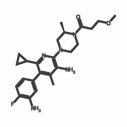 COCCC(=O)N1CCN(c2nc(C3CC3)c(-c3ccc(F)c(N)c3)c(C)c2N)C[C@H]1C